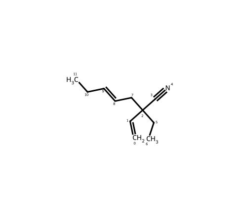 C=CC(C#N)(CC)C/C=C/CC